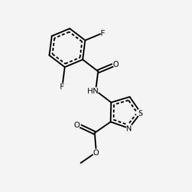 COC(=O)c1nscc1NC(=O)c1c(F)cccc1F